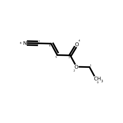 CCOC(=O)/C=C/C#N